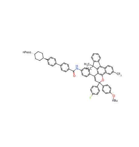 CCCCC[C@H]1CC[C@H](c2ccc(-c3ccc(C(=O)Nc4ccc(C5=CC(c6ccc(F)cc6)(c6ccc(OCCCC)cc6)Oc6c5c5c(c7ccc(C(F)(F)F)cc67)-c6ccccc6C5(C)C)cc4)cc3)cc2)CC1